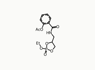 CCOP1(=O)OCC(CNC(=O)c2ccccc2OC(C)=O)O1